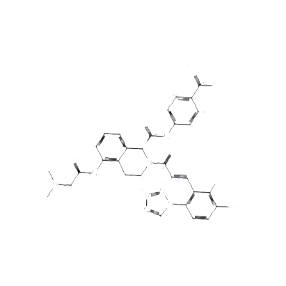 CN(C)CC(=O)Nc1cccc2c1CCN(C(=O)/C=C/c1c(-n3cnnn3)ccc(Cl)c1F)[C@@H]2C(=O)Nc1ccc(C(=O)O)cc1